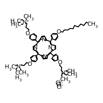 CCCCCCCCCCCOc1ccc(C2=C3C=CC(=N3)C(c3ccc(OCCC[N+](CC)(CC)CC)cc3)=C3C=CC(=N3)C(c3ccc(OCCC[N+](CC)(CC)CC)cc3)=C3C=CC(=N3)C(c3ccc(OCCC[N+](CC)(CC)CC)cc3)=C3C=CC2=N3)cc1.[Cl-].[Cl-].[Cl-]